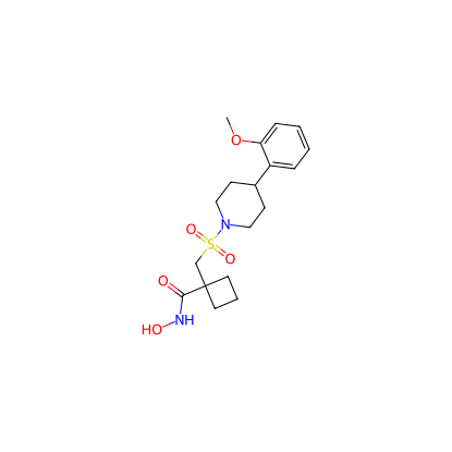 COc1ccccc1C1CCN(S(=O)(=O)CC2(C(=O)NO)CCC2)CC1